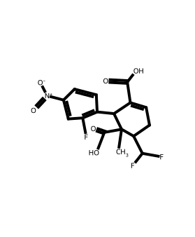 CC1(C(=O)O)C(c2ccc([N+](=O)[O-])cc2F)C(C(=O)O)=CCC1C(F)F